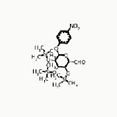 C[Si](C)(C)O[C@@H]1[C@H](O[Si](C)(C)C)[C@@H](Oc2ccc([N+](=O)[O-])cc2)O[C@H](C=O)[C@H]1O[Si](C)(C)C